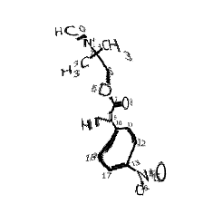 C#[N+]C(C)(C)COC(=O)Nc1ccc([N+](=O)[O-])cc1